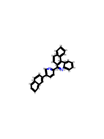 c1ccc2cc(-c3ccc(-c4nc5ccccc5c5c4ccc4ccccc45)nc3)ccc2c1